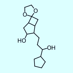 OC(CCC1C(O)CC2C1CC21OCCO1)C1CCCC1